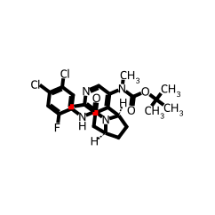 CN(C(=O)OC(C)(C)C)c1cnc(F)c2c1[C@H]1CC[C@@H](C2)N1C(=O)Nc1cc(Cl)c(Cl)cc1F